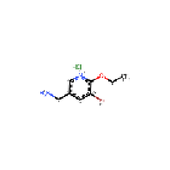 Cl.NCc1cnc(OCC(F)(F)F)c(Br)c1